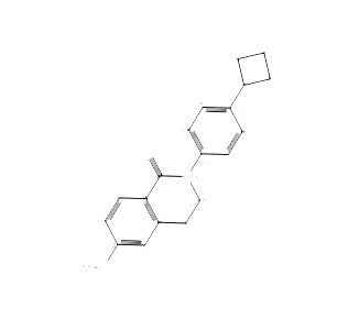 COc1ccc2c(c1)CCN(c1ccc(C3CCC3)cc1)C2=O